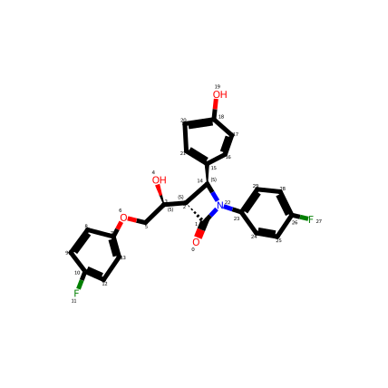 O=C1[C@H]([C@H](O)COc2ccc(F)cc2)[C@@H](c2ccc(O)cc2)N1c1ccc(F)cc1